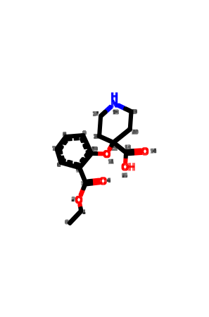 CCOC(=O)c1ccccc1OC1(C(=O)O)CCNCC1